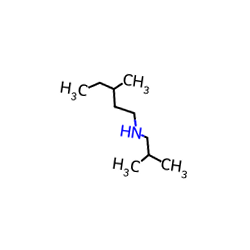 CCC(C)CCNCC(C)C